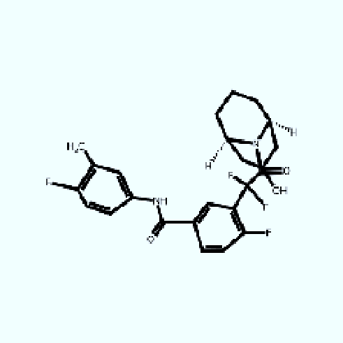 Cc1cc(NC(=O)c2ccc(F)c(C(F)(F)C(=O)N3[C@@H]4CCC[C@H]3CC(O)C4)c2)ccc1F